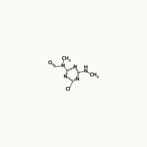 CNc1nc(Cl)nc(N(C)[C]=O)n1